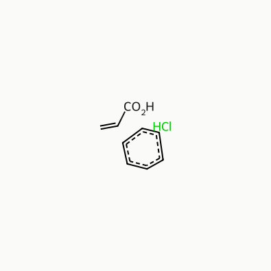 C=CC(=O)O.Cl.c1ccccc1